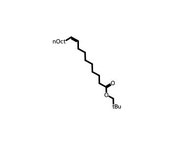 CCCCCCCC/C=C\CCCCCCCC(=O)OCC(C)(C)C